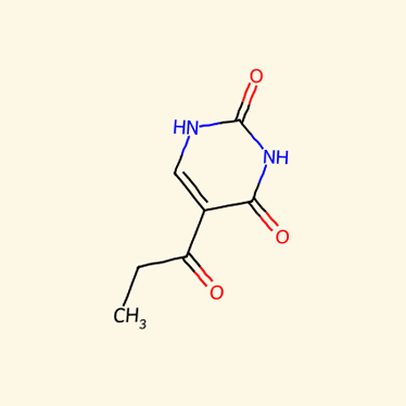 CCC(=O)c1c[nH]c(=O)[nH]c1=O